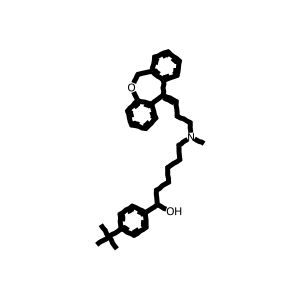 CN(CC/C=C1/c2ccccc2COc2ccccc21)CCCCCC(O)c1ccc(C(C)(C)C)cc1